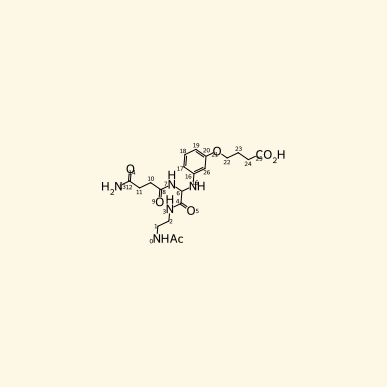 CC(=O)NCCNC(=O)C(NC(=O)CCC(N)=O)Nc1cccc(OCCCC(=O)O)c1